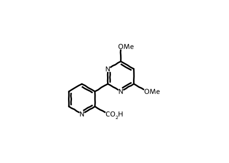 COc1cc(OC)nc(-c2cccnc2C(=O)O)n1